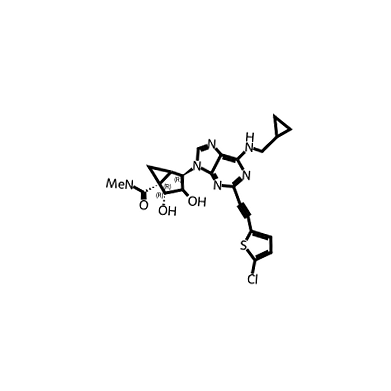 CNC(=O)[C@]12CC1[C@@H](n1cnc3c(NCC4CC4)nc(C#Cc4ccc(Cl)s4)nc31)C(O)[C@@H]2O